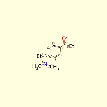 CCC(=O)c1ccc(C(CC)N(C)C)cc1